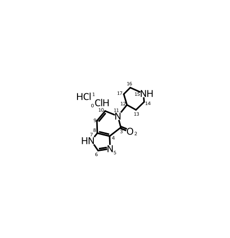 Cl.Cl.O=c1c2nc[nH]c2ccn1C1CCNCC1